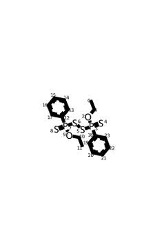 CCOP(=S)(SSP(=S)(OCC)c1ccccc1)c1ccccc1